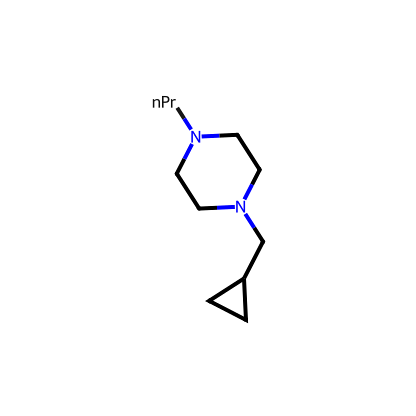 CCCN1CCN(CC2CC2)CC1